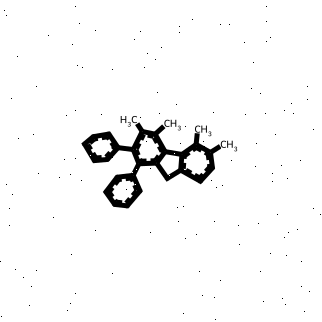 Cc1ccc2c(c1C)-c1c(C)c(C)c(-c3ccccc3)c(-c3ccccc3)c1C2